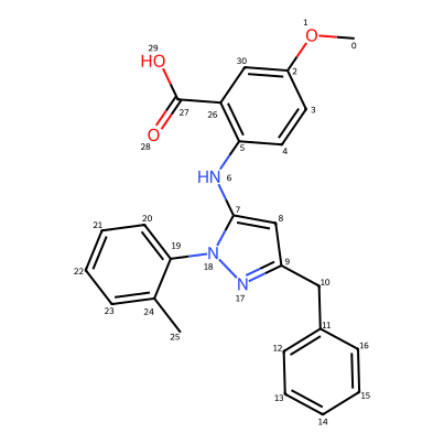 COc1ccc(Nc2cc(Cc3ccccc3)nn2-c2ccccc2C)c(C(=O)O)c1